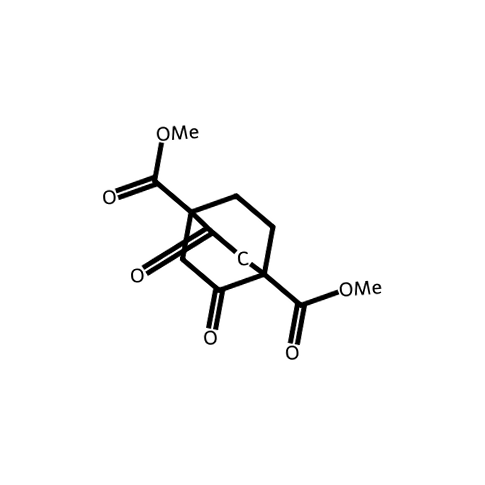 COC(=O)C12CCC(C(=O)OC)(CC1=O)C(=O)C2